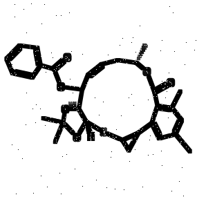 Cc1cc(C)c2c(c1)C1CC1C[C@@H]1OC(C)(C)O[C@@H]1C(OC(=O)c1ccccc1)/C=C\C[C@H](C)OC2=O